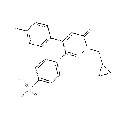 CS(=O)(=O)c1ccc(-c2nn(CC3CC3)c(=O)cc2-c2ccc(Cl)cc2)cc1